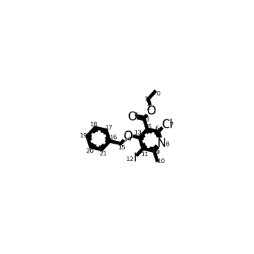 CCOC(=O)c1c(Cl)nc(C)c(I)c1OCc1ccccc1